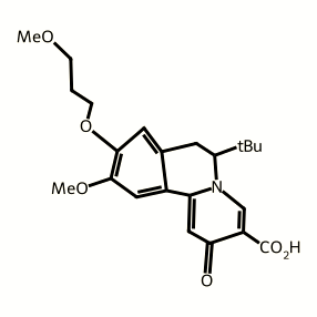 COCCCOc1cc2c(cc1OC)-c1cc(=O)c(C(=O)O)cn1C(C(C)(C)C)C2